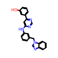 Oc1cccc(-c2cc(Nc3cccc(Cn4cnc5ccccc54)c3)ncn2)c1